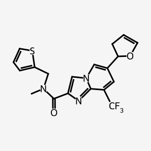 CN(Cc1cccs1)C(=O)c1cn2cc(C3CC=CO3)cc(C(F)(F)F)c2n1